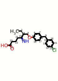 CC[C@@H](COc1ccc(Cc2ccc(Cl)cc2)cc1)C(=N)CCCC(=O)O